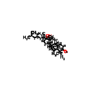 CC(C)CCC[C@@H](C)[C@@]1(O)CC[C@H]2[C@@H]3CC=C4C(C)(C)C(=O)CC[C@]4(C)[C@H]3CC[C@@]21C